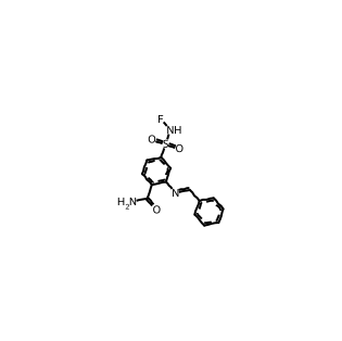 NC(=O)c1ccc(S(=O)(=O)NF)cc1N=Cc1ccccc1